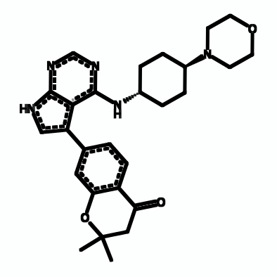 CC1(C)CC(=O)c2ccc(-c3c[nH]c4ncnc(N[C@H]5CC[C@H](N6CCOCC6)CC5)c34)cc2O1